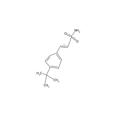 CC(C)(C)c1ccc(/C=C/S(N)(=O)=O)cc1